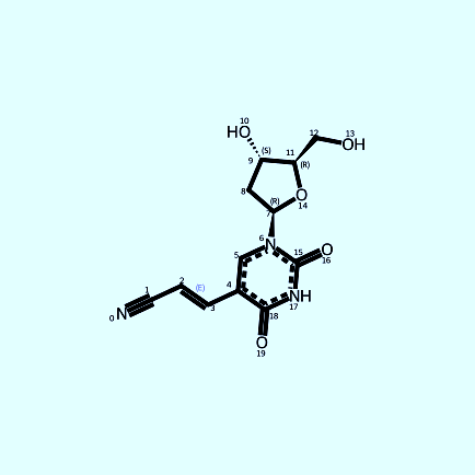 N#C/C=C/c1cn([C@H]2C[C@H](O)[C@@H](CO)O2)c(=O)[nH]c1=O